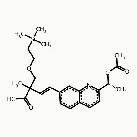 CC(=O)O[C@H](C)c1ccc2ccc(/C=C/C(C)(COCC[Si](C)(C)C)C(=O)O)cc2n1